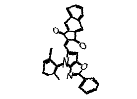 Cc1cccc(C)c1-n1c(C=C2C(=O)c3cc4ccccc4cc3C2=O)cc2oc(-c3ccccc3)nc21